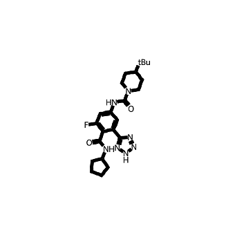 CC(C)(C)C1CCN(C(=O)Nc2cc(F)c(C(=O)NC3CCCC3)c(-c3nn[nH]n3)c2)CC1